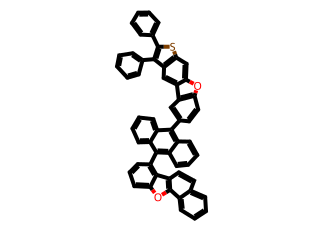 c1ccc(-c2sc3cc4oc5ccc(-c6c7ccccc7c(-c7cccc8oc9c%10ccccc%10ccc9c78)c7ccccc67)cc5c4cc3c2-c2ccccc2)cc1